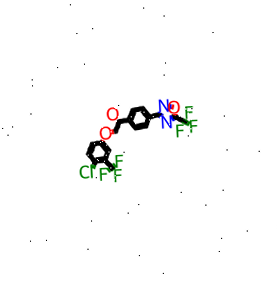 O=C(COc1ccc(Cl)c(C(F)(F)F)c1)c1ccc(-c2noc(C(F)(F)F)n2)cc1